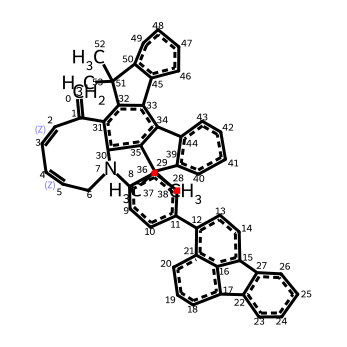 C=C1/C=C\C=C/CN(c2ccc(-c3ccc4c5c(cccc35)-c3ccccc3-4)cc2)c2c1c1c(c3c2C(C)(C)c2ccccc2-3)-c2ccccc2C1(C)C